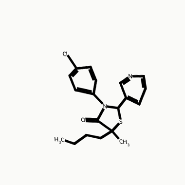 CCCCC1(C)SC(c2cccnc2)N(c2ccc(Cl)cc2)C1=O